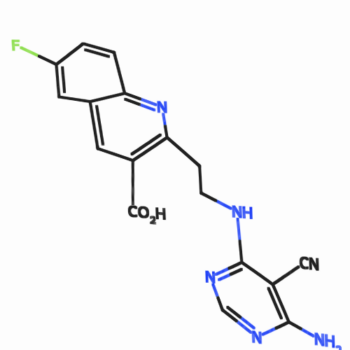 N#Cc1c(N)ncnc1NCCc1nc2ccc(F)cc2cc1C(=O)O